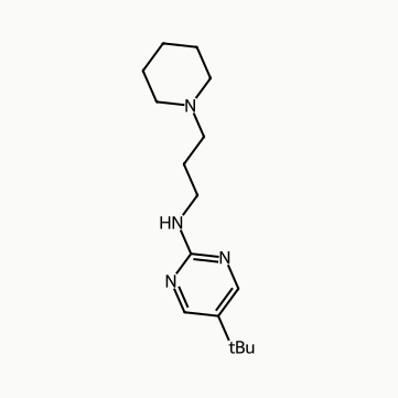 CC(C)(C)c1cnc(NCCCN2CCCCC2)nc1